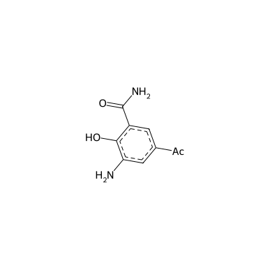 CC(=O)c1cc(N)c(O)c(C(N)=O)c1